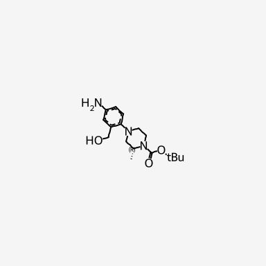 C[C@@H]1CN(c2ccc(N)cc2CO)CCN1C(=O)OC(C)(C)C